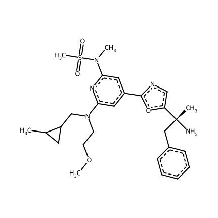 COCCN(CC1CC1C)c1cc(-c2ncc([C@](C)(N)Cc3ccccc3)o2)cc(N(C)S(C)(=O)=O)n1